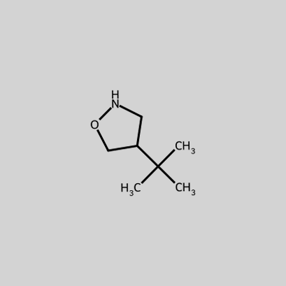 CC(C)(C)C1CNOC1